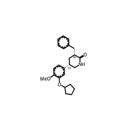 COc1ccc([C@H]2CNC(=O)[C@@H](Cc3ccccc3)C2)cc1OC1CCCC1